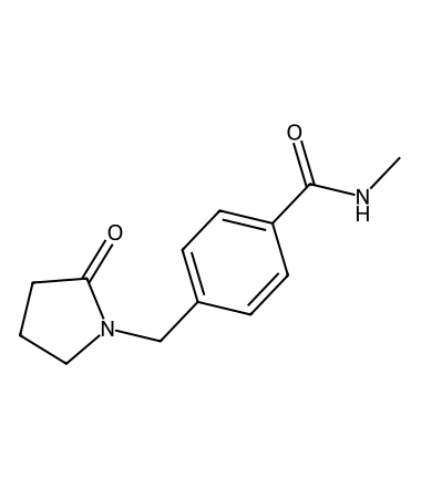 CNC(=O)c1ccc(CN2CCCC2=O)cc1